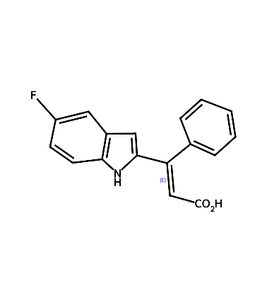 O=C(O)/C=C(\c1ccccc1)c1cc2cc(F)ccc2[nH]1